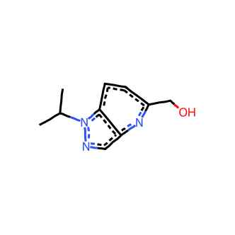 CC(C)n1ncc2nc(CO)ccc21